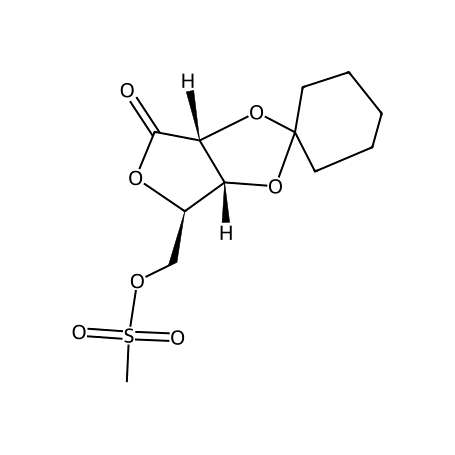 CS(=O)(=O)OC[C@H]1OC(=O)[C@@H]2OC3(CCCCC3)O[C@H]12